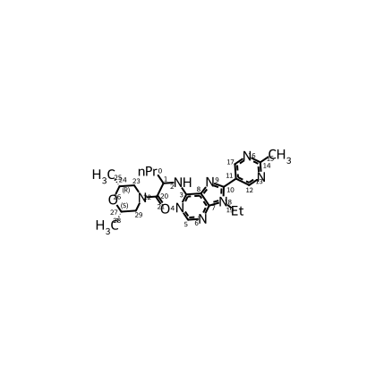 CCCC(Nc1ncnc2c1nc(-c1cnc(C)nc1)n2CC)C(=O)N1C[C@@H](C)O[C@@H](C)C1